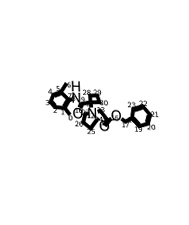 Cc1cccc(C)c1NC(=O)C1([N+]2(CC(=O)OCc3ccccc3)CCCC2)CCC1